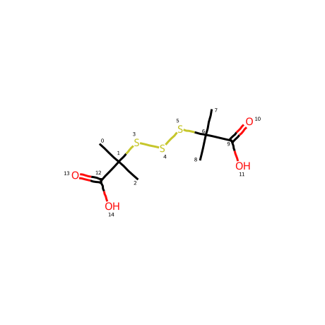 CC(C)(SSSC(C)(C)C(=O)O)C(=O)O